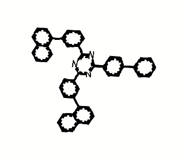 c1ccc(-c2ccc(-c3nc(-c4cccc(-c5cccc6ccccc56)c4)nc(-c4cccc(-c5cccc6ccccc56)c4)n3)cc2)cc1